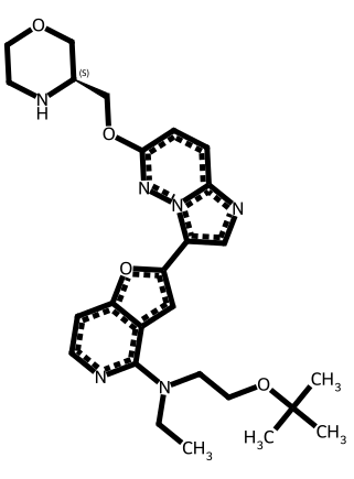 CCN(CCOC(C)(C)C)c1nccc2oc(-c3cnc4ccc(OC[C@@H]5COCCN5)nn34)cc12